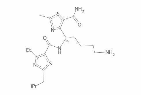 CCc1nc(CC(C)C)sc1C(=O)N[C@@H](CCCCN)c1nc(C)sc1C(N)=O